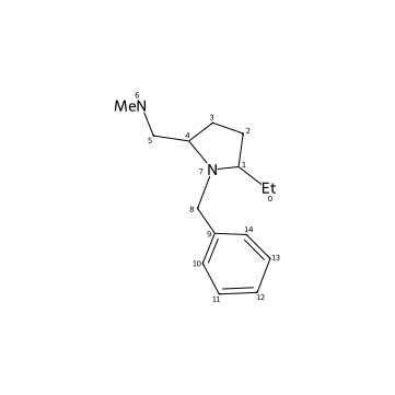 CCC1CCC(CNC)N1Cc1ccccc1